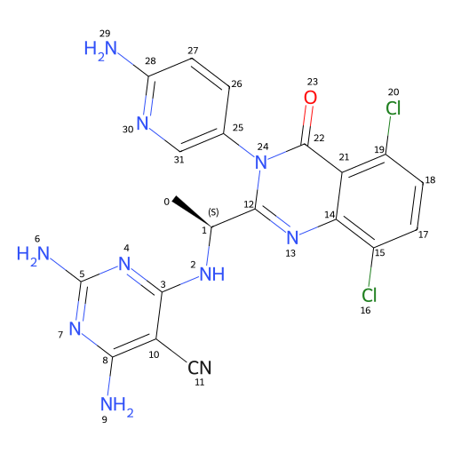 C[C@H](Nc1nc(N)nc(N)c1C#N)c1nc2c(Cl)ccc(Cl)c2c(=O)n1-c1ccc(N)nc1